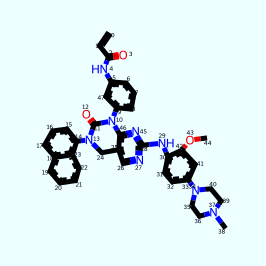 C=CC(=O)Nc1cccc(N2C(=O)N(c3cccc4ccccc34)Cc3cnc(Nc4ccc(N5CCN(C)CC5)cc4OC)nc32)c1